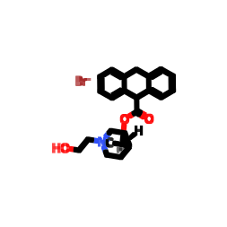 O=C(O[C@H]1C[N+]2(CCO)CCC1CC2)C1c2ccccc2Cc2ccccc21.[Br-]